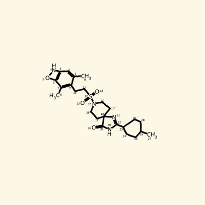 Cc1cc2[nH]oc2c(C)c1CCS(=O)(=O)N1CCC2(CC1)N=C(C1CCC(C)CC1)NC2=O